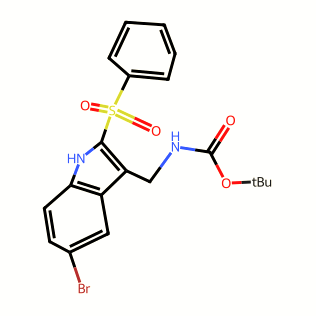 CC(C)(C)OC(=O)NCc1c(S(=O)(=O)c2ccccc2)[nH]c2ccc(Br)cc12